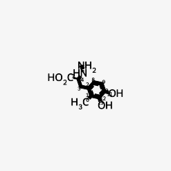 Cc1c(C[C@H](NN)C(=O)O)ccc(O)c1O